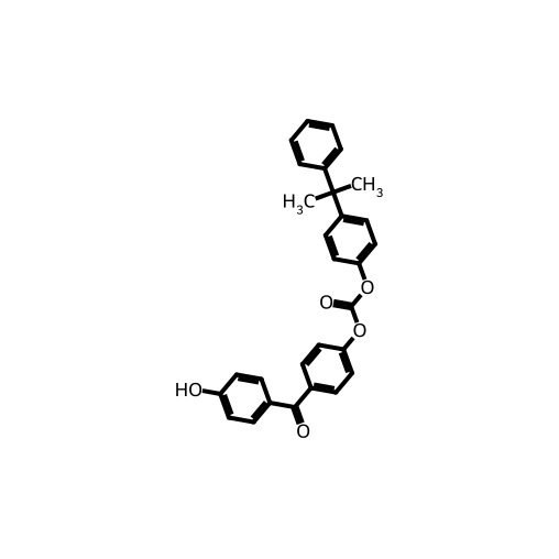 CC(C)(c1ccccc1)c1ccc(OC(=O)Oc2ccc(C(=O)c3ccc(O)cc3)cc2)cc1